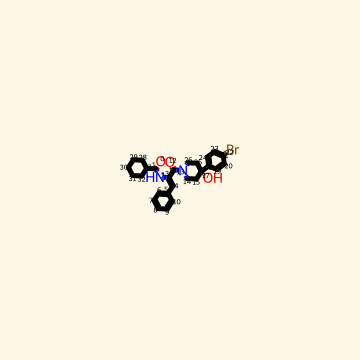 O=C(N/C(=C\c1ccccc1)C(=O)N1CCC(O)(c2ccc(Br)cc2)CC1)C1CCCCC1